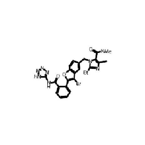 CCc1nc(C)c(C(=O)NC)n1Cc1ccc2oc(-c3ccccc3C(=O)Nc3nnn[nH]3)c(Br)c2c1